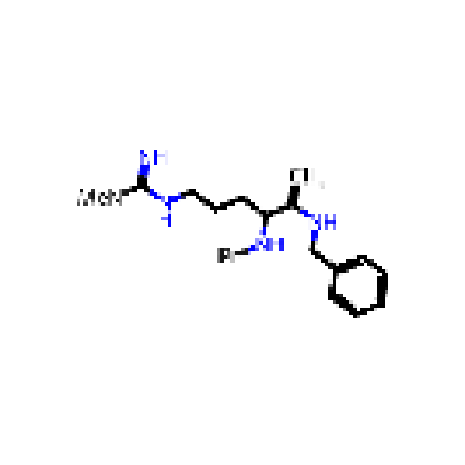 C=C(NCc1ccccc1)C(CCCNC(=N)NC)NC(C)C